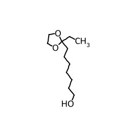 CCC1(CCCCCCCO)OCCO1